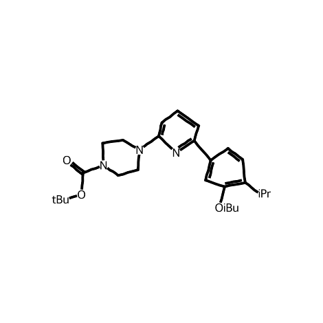 CC(C)COc1cc(-c2cccc(N3CCN(C(=O)OC(C)(C)C)CC3)n2)ccc1C(C)C